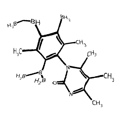 BBc1c(B)c(C)c(-n2c(C)c(C)c(C)nc2=O)c(B(B)B)c1C